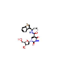 CC(NC(=O)c1cn([C@H]2C[C@H](O)[C@@H](CO)O2)c(=O)[nH]c1=O)c1csc2ccccc12